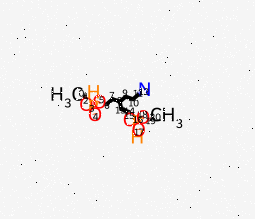 CCO[PH](=O)OCCC(CCC#N)CCO[PH](=O)OCC